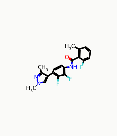 Cc1cccc(F)c1C(=O)Nc1ccc(-c2cn(C)nc2C)c(F)c1F